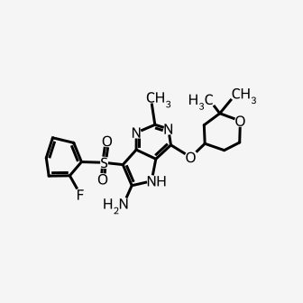 Cc1nc(OC2CCOC(C)(C)C2)c2[nH]c(N)c(S(=O)(=O)c3ccccc3F)c2n1